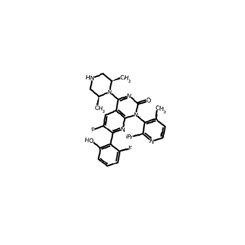 Cc1ccnc(C(C)C)c1-n1c(=O)nc(N2[C@H](C)CNC[C@@H]2C)c2cc(F)c(-c3c(O)cccc3F)nc21